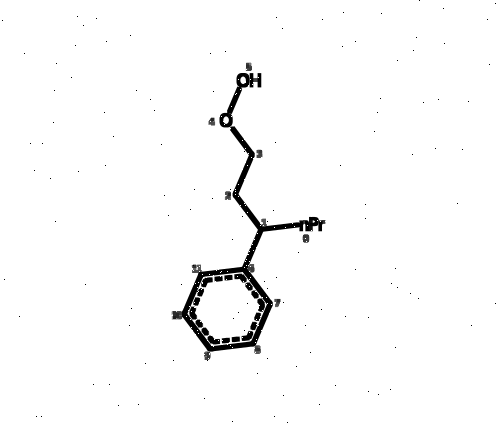 CCCC(CCOO)c1ccccc1